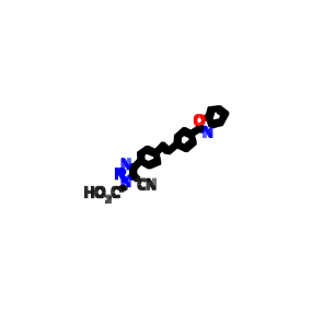 N#Cc1c(-c2ccc(C=Cc3ccc(-c4nc5ccccc5o4)cc3)cc2)nnn1CC(=O)O